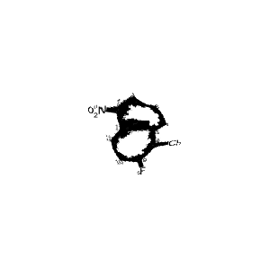 O=[N+]([O-])c1cccc2c(Cl)c(F)ccc12